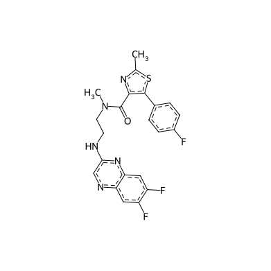 Cc1nc(C(=O)N(C)CCNc2cnc3cc(F)c(F)cc3n2)c(-c2ccc(F)cc2)s1